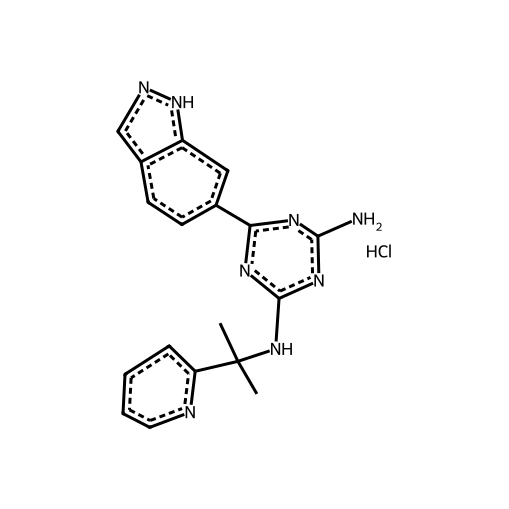 CC(C)(Nc1nc(N)nc(-c2ccc3cn[nH]c3c2)n1)c1ccccn1.Cl